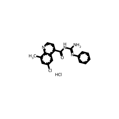 Cc1cc(Cl)cc2c(C(=O)NC(N)=Nc3ccccc3)ccnc12.Cl